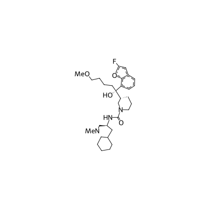 CNC[C@H](CC1CCCCC1)NC(=O)N1CCC[C@@H]([C@@](O)(CCCCOC)c2cccc3cc(F)oc23)C1